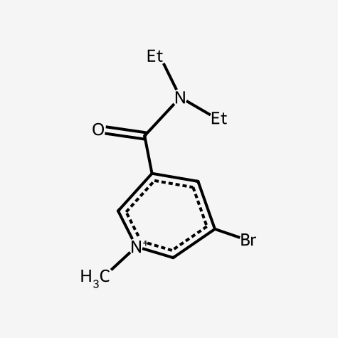 CCN(CC)C(=O)c1cc(Br)c[n+](C)c1